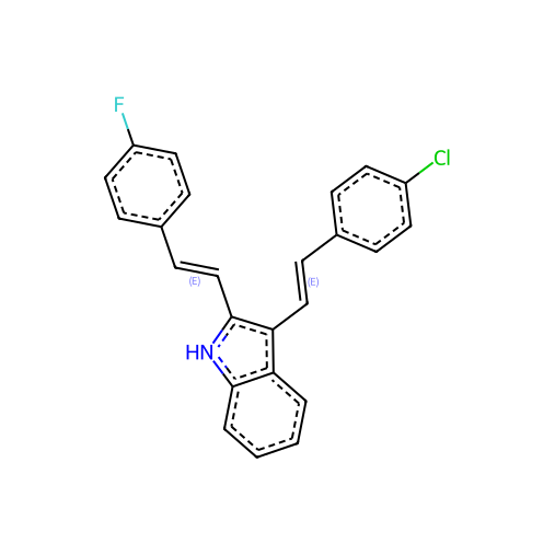 Fc1ccc(/C=C/c2[nH]c3ccccc3c2/C=C/c2ccc(Cl)cc2)cc1